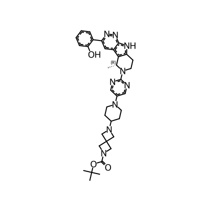 C[C@@H]1c2c([nH]c3nnc(-c4ccccc4O)cc23)CCN1c1ncc(N2CCC(N3CC4(CN(C(=O)OC(C)(C)C)C4)C3)CC2)cn1